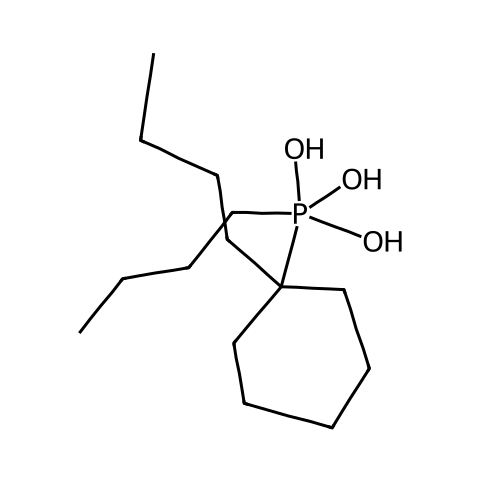 CCCCC1(P(O)(O)(O)CCCC)CCCCC1